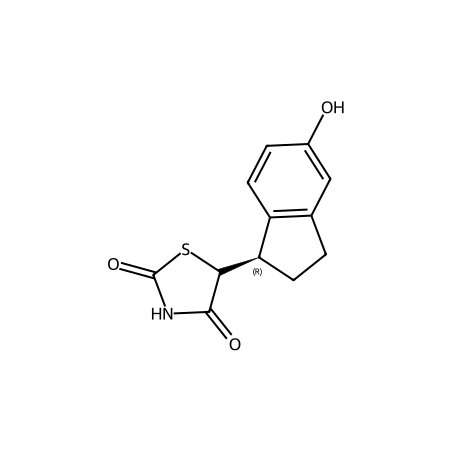 O=C1NC(=O)C([C@@H]2CCc3cc(O)ccc32)S1